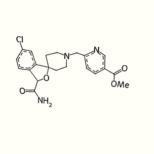 COC(=O)c1ccc(CN2CCC3(CC2)OC(C(N)=O)c2ccc(Cl)cc23)nc1